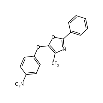 O=[N+]([O-])c1ccc(Oc2oc(-c3ccccc3)nc2C(F)(F)F)cc1